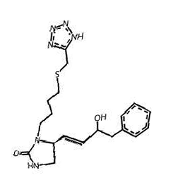 O=C1NC[C@H](C=CC(O)Cc2ccccc2)N1CCCCSCc1nnn[nH]1